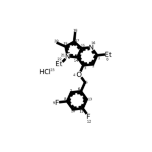 CCc1cc(OCc2cc(F)cc(F)c2)c2c(n1)c(C)c(C)n2CC.Cl